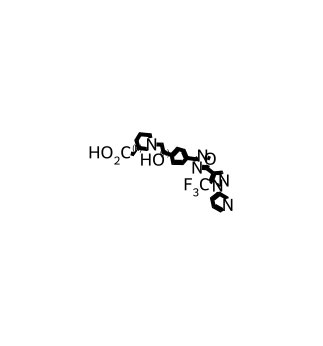 O=C(O)C[C@H]1CCCN(C[C@H](O)c2ccc(-c3noc(-c4cnn(-c5cccnc5)c4C(F)(F)F)n3)cc2)C1